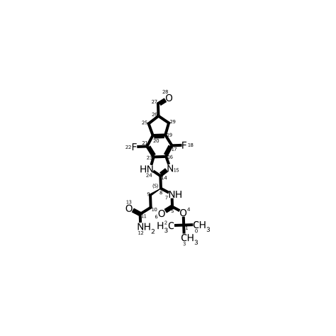 CC(C)(C)OC(=O)N[C@@H](CCC(N)=O)c1nc2c(F)c3c(c(F)c2[nH]1)CC(C=O)C3